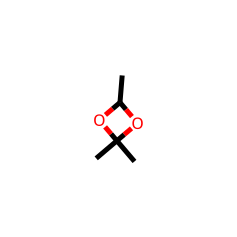 CC1OC(C)(C)O1